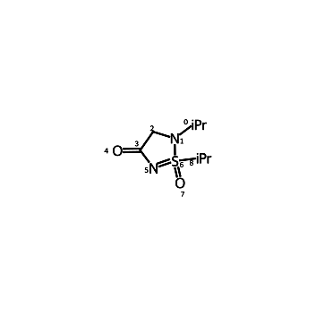 CC(C)N1CC(=O)N=S1(=O)C(C)C